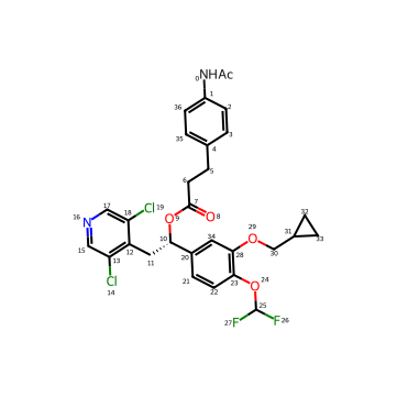 CC(=O)Nc1ccc(CCC(=O)O[C@@H](Cc2c(Cl)cncc2Cl)c2ccc(OC(F)F)c(OCC3CC3)c2)cc1